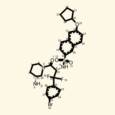 N[C@@H]1CCCN(C(=O)[C@H](NS(=O)(=O)c2ccc3cc(OC4CCCC4)ccc3c2)C(F)(F)c2ccc(Br)cc2)C1